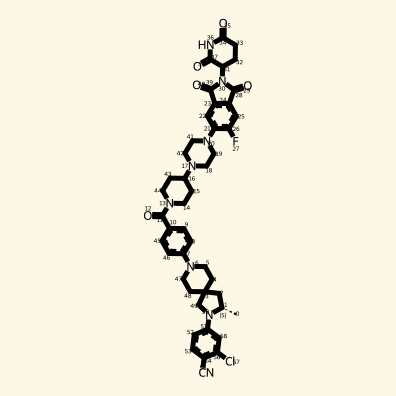 C[C@H]1CC2(CCN(c3ccc(C(=O)N4CCC(N5CCN(c6cc7c(cc6F)C(=O)N(C6CCC(=O)NC6=O)C7=O)CC5)CC4)cc3)CC2)CN1c1ccc(C#N)c(Cl)c1